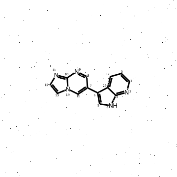 c1cnc2[nH]cc(-c3cnc4nccn4c3)c2c1